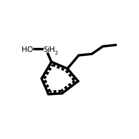 CCCCc1ccccc1[SiH2]O